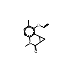 C=COc1c(C)ccc2c1C1CC1C(=O)N2C